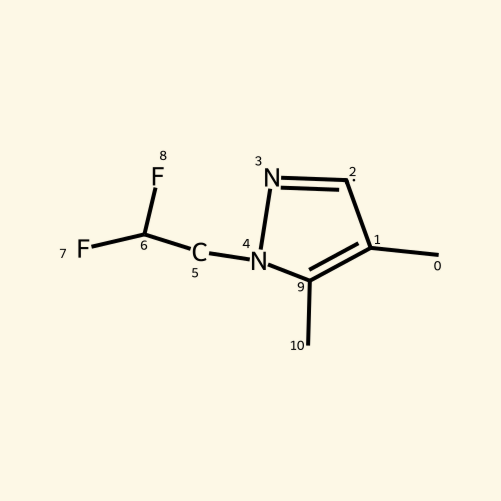 Cc1[c]nn(CC(F)F)c1C